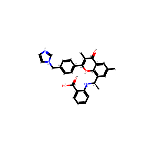 Cc1cc([C@@H](C)Nc2ccccc2C(=O)O)c2oc(-c3ccc(Cn4ccnc4)cc3)c(C)c(=O)c2c1